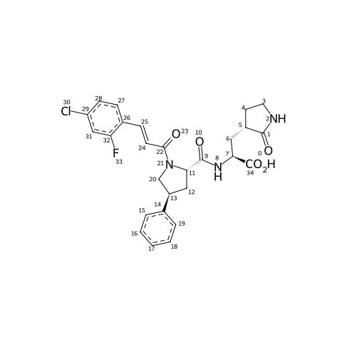 O=C1NCC[C@H]1C[C@H](NC(=O)[C@@H]1C[C@@H](c2ccccc2)CN1C(=O)/C=C/c1ccc(Cl)cc1F)C(=O)O